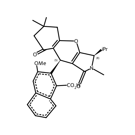 COc1cc2ccccc2c(C(=O)O)c1[C@H]1C2=C(CC(C)(C)CC2=O)OC2=C1C(=O)N(C)[C@@H]2C(C)C